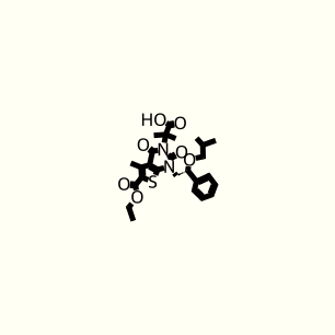 CCOC(=O)c1sc2c(c1C)c(=O)n(C(C)(C)C(=O)O)c(=O)n2C[C@H](OCC(C)C)c1ccccc1